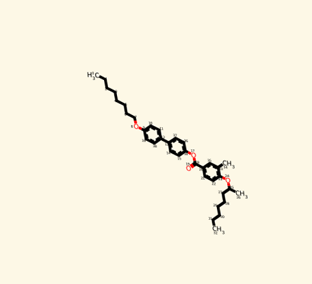 CCCCCCCCOc1ccc(-c2ccc(OC(=O)c3ccc(OC(C)CCCCCC)c(C)c3)cc2)cc1